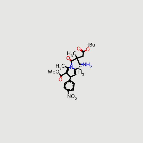 COC(=O)C1=C(C)N(C(=O)C(C)(CN)CC(=O)OC(C)(C)C)C(C)=CC1c1ccc([N+](=O)[O-])cc1